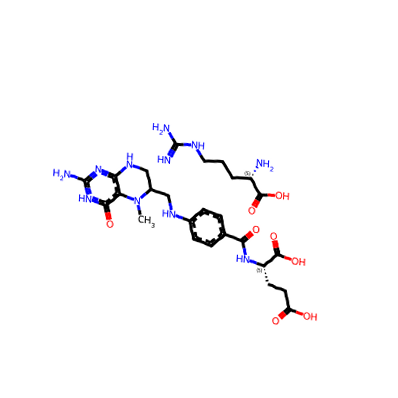 CN1c2c(nc(N)[nH]c2=O)NCC1CNc1ccc(C(=O)N[C@@H](CCC(=O)O)C(=O)O)cc1.N=C(N)NCCC[C@H](N)C(=O)O